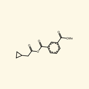 COC(=O)c1cccc(C(=O)OC(=O)CC2CC2)c1